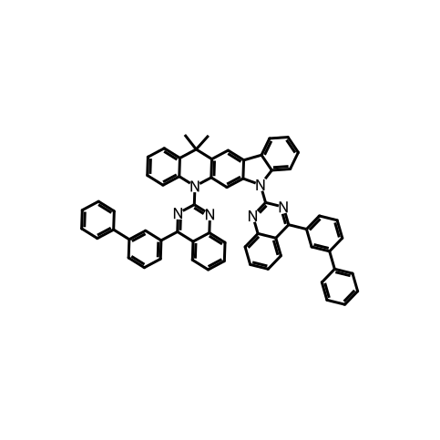 CC1(C)c2ccccc2N(c2nc(-c3cccc(-c4ccccc4)c3)c3ccccc3n2)c2cc3c(cc21)c1ccccc1n3-c1nc(-c2cccc(-c3ccccc3)c2)c2ccccc2n1